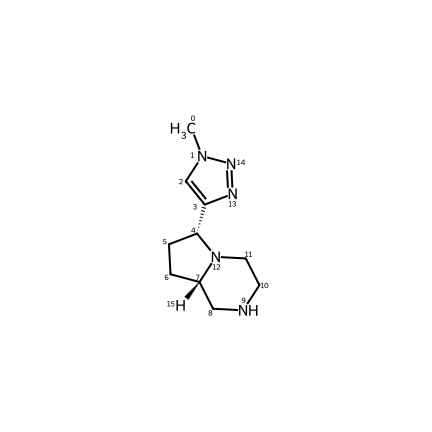 Cn1cc([C@H]2CC[C@H]3CNCCN32)nn1